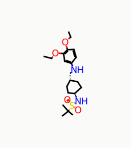 CCOc1ccc(NC[C@H]2CC[C@H](NS(=O)(=O)C(C)(C)C)CC2)cc1OCC